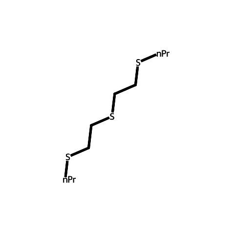 [CH2]CCSCCSCCSCC[CH2]